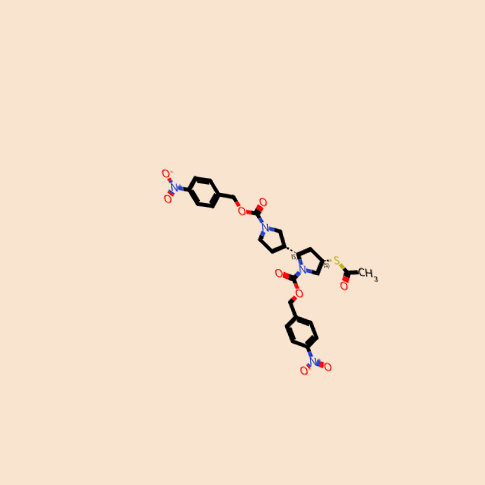 CC(=O)S[C@H]1C[C@@H](C2CCN(C(=O)OCc3ccc([N+](=O)[O-])cc3)C2)N(C(=O)OCc2ccc([N+](=O)[O-])cc2)C1